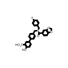 O=C(O)c1cc(-c2ccc(CN(Cc3ccc(F)cc3)C(=O)c3ccc4c(c3)OCO4)cc2)ccc1O